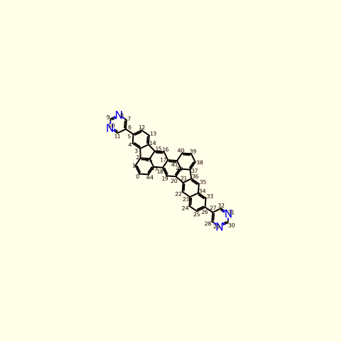 c1cc2c3cc(-c4cncnc4)ccc3c3cc4c(cc5c6cc7ccc(-c8cncnc8)cc7cc6c6cccc4c65)c(c1)c23